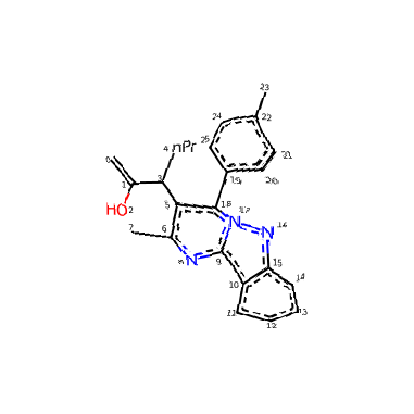 C=C(O)C(CCC)c1c(C)nc2c3ccccc3nn2c1-c1ccc(C)cc1